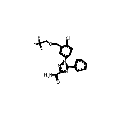 NC(=O)c1nc(-c2ccccc2)n(-c2ccc(Cl)c(COCC(F)(F)F)c2)n1